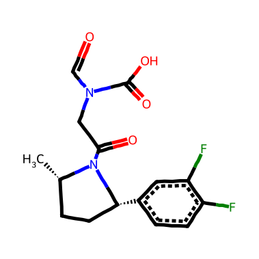 C[C@H]1CC[C@@H](c2ccc(F)c(F)c2)N1C(=O)CN(C=O)C(=O)O